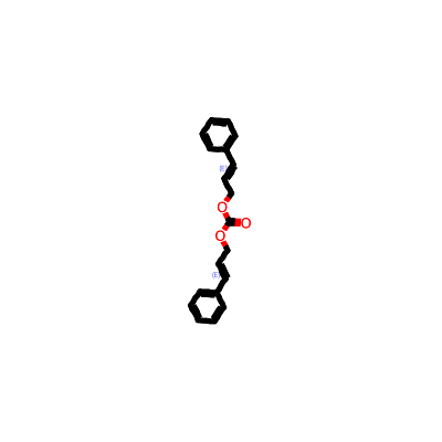 O=C(OC/C=C/c1ccccc1)OC/C=C/c1ccccc1